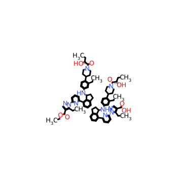 CCOC(=O)c1cnn(-c2cccc(-c3cccc4c3C(Nc3ccc(C5CCN(C(=O)[C@@H](O)CC)CC5)c(CC)c3)CC4)n2)c1CC.CCc1cc(NC2CCc3cccc(-c4cccc(-n5ncc(C(=O)O)c5CC)n4)c32)ccc1C1CCN(C(=O)[C@@H](O)CC)CC1